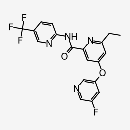 CCc1cc(Oc2cncc(F)c2)cc(C(=O)Nc2ccc(C(F)(F)F)cn2)n1